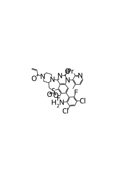 C=CC(=O)N1CCN2c3nc(=O)n(-c4c(C)ccnc4C(C)C)c4cc(-c5c(N)c(Cl)cc(Cl)c5F)c(F)c(c34)S(=O)(=O)CC2C1